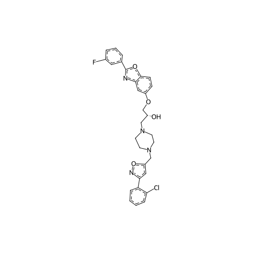 O[C@@H](COc1ccc2oc(-c3cccc(F)c3)nc2c1)CN1CCN(Cc2cc(-c3ccccc3Cl)no2)CC1